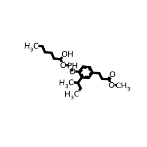 CCCCCC(O)OPOc1ccc(CCC(=O)OC)cc1C(C)CC